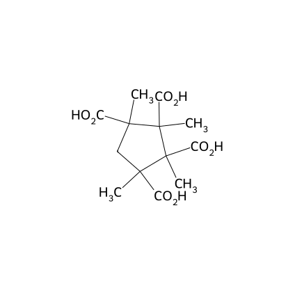 CC1(C(=O)O)CC(C)(C(=O)O)C(C)(C(=O)O)C1(C)C(=O)O